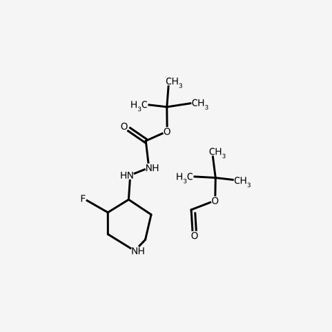 CC(C)(C)OC(=O)NNC1CCNCC1F.CC(C)(C)OC=O